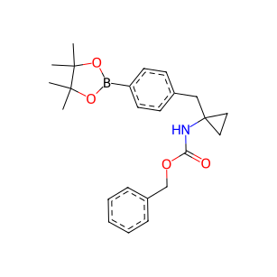 CC1(C)OB(c2ccc(CC3(NC(=O)OCc4ccccc4)CC3)cc2)OC1(C)C